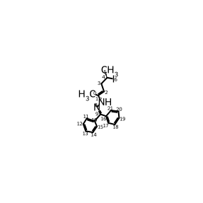 C/C(=C\C[C@@H](C)I)NN=C(c1ccccc1)c1ccccc1